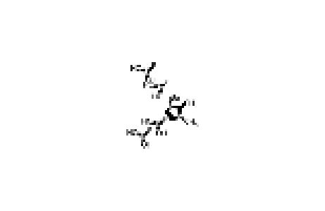 CCCCN1C=CN(C)C1C.OB(O)F.OB(O)F.OB(O)F.OB(O)F